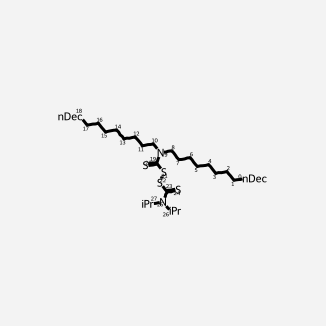 CCCCCCCCCCCCCCCCCCN(CCCCCCCCCCCCCCCCCC)C(=S)SSC(=S)N(C(C)C)C(C)C